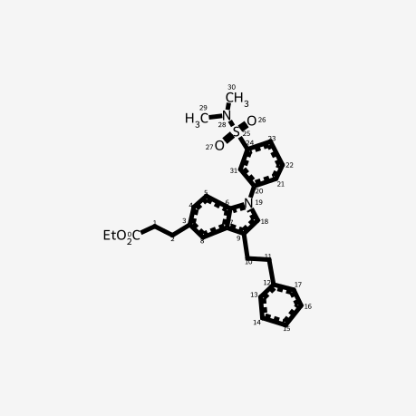 CCOC(=O)CCc1ccc2c(c1)c(CCc1ccccc1)cn2-c1cccc(S(=O)(=O)N(C)C)c1